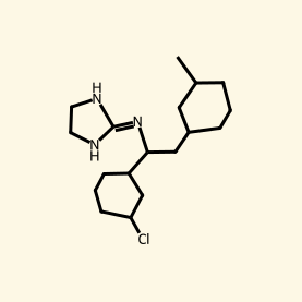 CC1CCCC(CC(N=C2NCCN2)C2CCCC(Cl)C2)C1